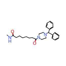 CNC(=O)CCCCCCC(=O)N1CCN(C(c2ccccc2)c2ccccc2)CC1